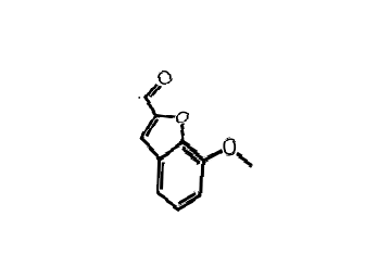 COc1cccc2cc([C]=O)oc12